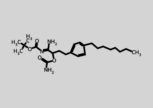 CCCCCCCCc1ccc(CCC(OC(N)=O)/C(N)=N/C(=O)OC(C)(C)C)cc1